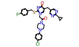 O=C(Cn1cc(Cc2cnc(C3CC3)nc2)c(=O)nc1SCc1ccc(F)cc1)N1CCN(c2ccc(Cl)cc2)CC1